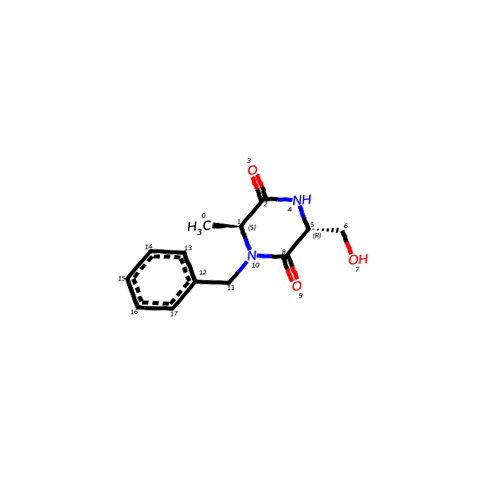 C[C@H]1C(=O)N[C@H](CO)C(=O)N1Cc1ccccc1